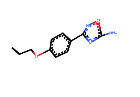 CCCOc1ccc(-c2noc(N)n2)cc1